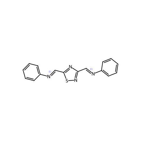 C(=N\c1ccccc1)/c1nsc(/C=N/c2ccccc2)n1